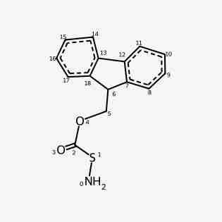 NSC(=O)OCC1c2ccccc2-c2ccccc21